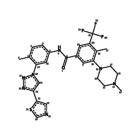 Cc1ccc(NC(=O)c2cc(N3CCN(C)CC3)c(C)c(C(F)(F)F)c2)cc1-n1cc(-c2cncs2)nn1